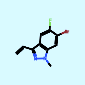 C=Cc1nn(C)c2cc(Br)c(F)cc12